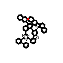 c1ccc(-c2nc(-c3ccccc3-c3ccccc3)nc(-c3cccc4oc5cc(-n6c7cc8ccccc8cc7c7ccc8ccccc8c76)c(-c6ccc(-c7ccc8ccccc8c7)cc6)cc5c34)n2)cc1